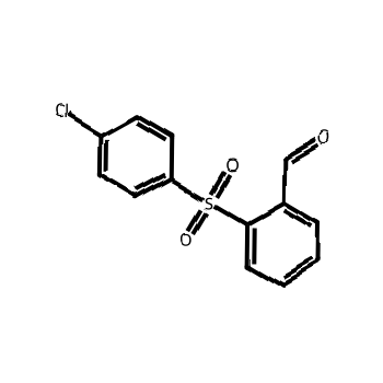 O=Cc1ccccc1S(=O)(=O)c1ccc(Cl)cc1